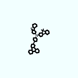 CC1(C)c2ccccc2-c2ccc(N(c3ccc(-c4ccc5c6ccccc6c6ccccc6c5c4)cc3)c3ccc4sc5ccccc5c4c3)cc21